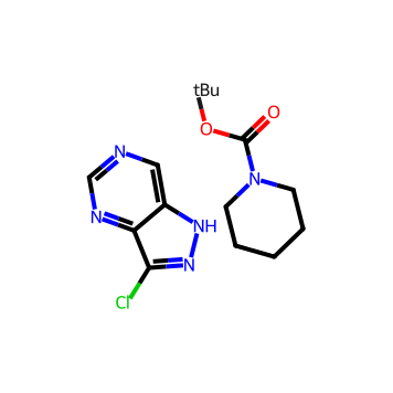 CC(C)(C)OC(=O)N1CCCCC1.Clc1n[nH]c2cncnc12